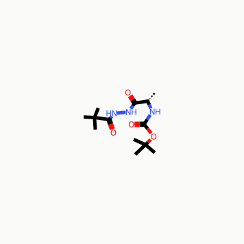 C[C@H](NC(=O)OC(C)(C)C)C(=O)NNC(=O)C(C)(C)C